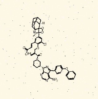 C=C(COc1c(Cl)cc(C2(OC)OOC23[C@H]2CC4CC(C2)C[C@@H]3C4)cc1/C=C/C(=O)O)C(=O)N1CCC[C@@H](n2nc(-c3ccc(Oc4ccccc4)cc3)c3c(N)ncnc32)C1